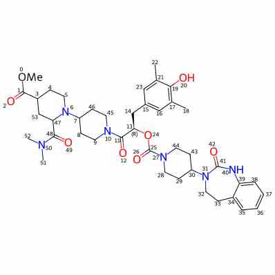 COC(=O)C1CCN(C2CCN(C(=O)[C@@H](Cc3cc(C)c(O)c(C)c3)OC(=O)N3CCC(N4CCc5ccccc5NC4=O)CC3)CC2)C(C(=O)N(C)C)C1